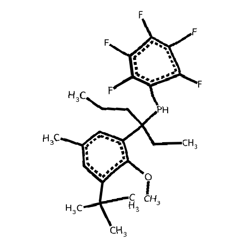 CCCC(CC)(Pc1c(F)c(F)c(F)c(F)c1F)c1cc(C)cc(C(C)(C)C)c1OC